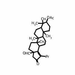 CC(=O)OC1CCC2(C)C(CCC3(C)C2CCC2C4=C(C(C)C)C(=O)CC4(C=O)CCC23C)C1(C)C